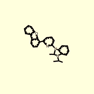 CC(C)N1c2ccccc2N(c2cccc(-c3cccc4c3oc3ccccc34)n2)C1C